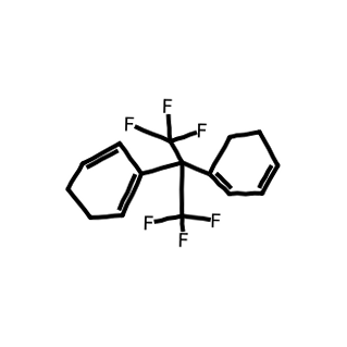 FC(F)(F)C(C1=CCCC=C1)(C1=CC=CCC1)C(F)(F)F